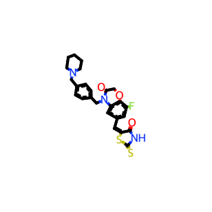 O=C1NC(=S)S/C1=C/c1cc(F)c2c(c1)N(Cc1ccc(CN3CCCCC3)cc1)C(=O)CO2